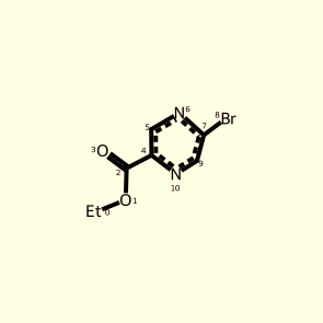 CCOC(=O)c1cnc(Br)cn1